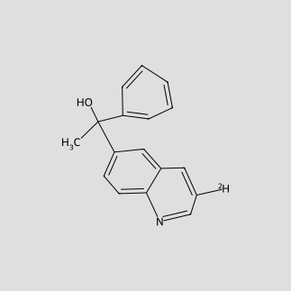 [2H]c1cnc2ccc(C(C)(O)c3ccccc3)cc2c1